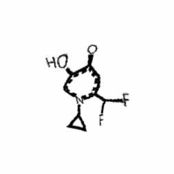 O=c1cc(C(F)F)n(C2CC2)cc1O